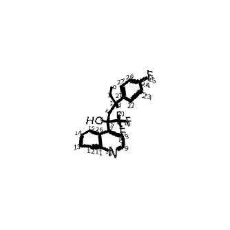 CCC(C)(CC(O)(c1ccnc2ccccc12)C(F)(F)F)c1ccc(F)cc1